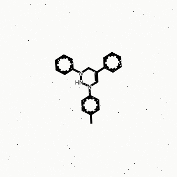 Cc1ccc(N2C=C(c3ccccc3)CN(c3ccccc3)N2)cc1